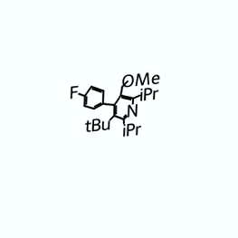 COCc1c(C(C)C)nc(C(C)C)c(C(C)(C)C)c1-c1ccc(F)cc1